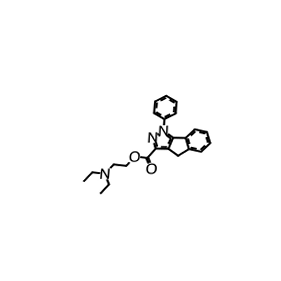 CCN(CC)CCOC(=O)c1nn(-c2ccccc2)c2c1Cc1ccccc1-2